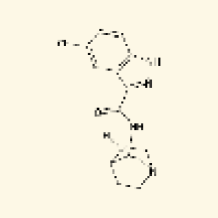 O=C(N[C@H]1CN2CCC1CC2)c1n[nH]c2ccc(Cl)cc12